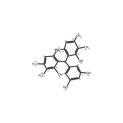 Cc1cc(C)c(C(c2cc(O)cc(O)c2)c2c(C)cc(C)c(C)c2O)c(O)c1C